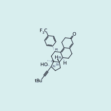 CC(C)(C)C#C[C@]1(O)CC[C@H]2[C@@H]3CCC4=CC(=O)CCC4=C3[C@@H](c3ccc(C(F)(F)F)cc3)C[C@@]21C